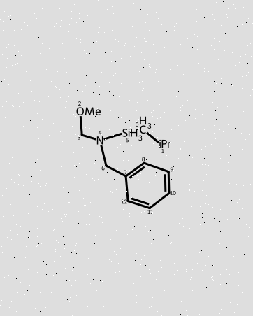 CC(C)C.COCN([SiH3])Cc1ccccc1